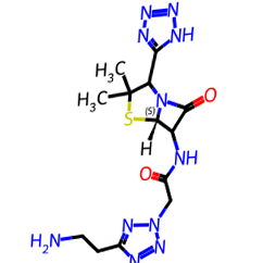 CC1(C)S[C@H]2C(NC(=O)Cn3nnc(CCN)n3)C(=O)N2C1c1nnn[nH]1